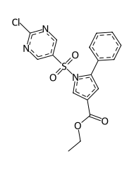 CCOC(=O)c1cc(-c2ccccc2)n(S(=O)(=O)c2cnc(Cl)nc2)c1